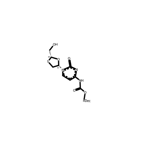 CCCCCCCCCCOC(=O)Nc1ccn([C@@H]2CS[C@H](CO)O2)c(=O)n1